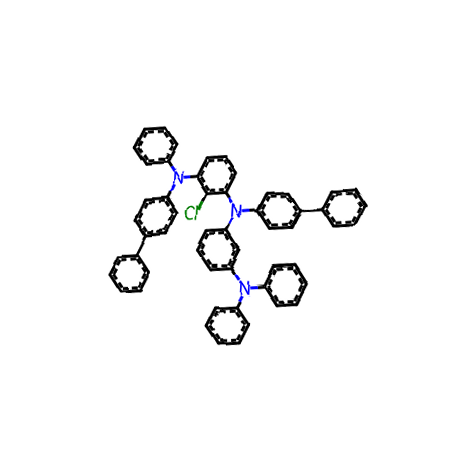 Clc1c(N(c2ccccc2)c2ccc(-c3ccccc3)cc2)cccc1N(c1ccc(-c2ccccc2)cc1)c1cccc(N(c2ccccc2)c2ccccc2)c1